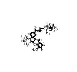 Cc1nc(N[C@H]2c3cc(C(=O)NCCO[Si](C)(C)C(C)(C)C)ccc3N(C(C)O)[C@@H](C)[C@@H]2C)ccc1F